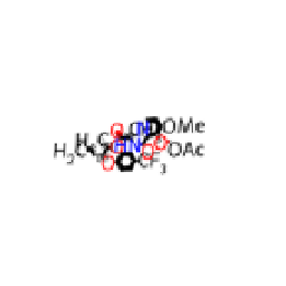 C=CC[C@@H](Oc1ccc(C(F)(F)F)cc1)[C@H](C)OC(=O)[C@H](C)NC(=O)c1nccc(OC)c1OCOC(C)=O